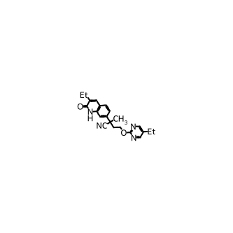 CCc1cnc(OCCC(C)(C#N)c2ccc3cc(CC)c(=O)[nH]c3c2)nc1